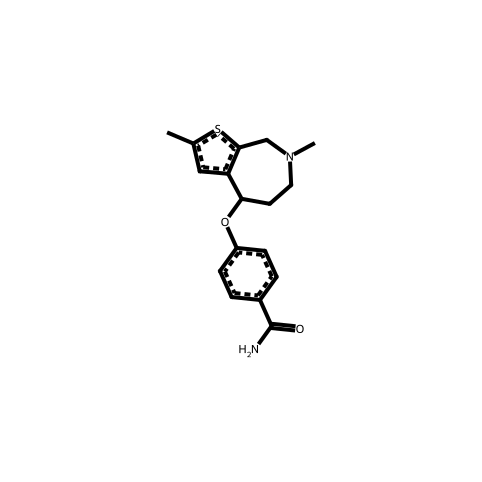 Cc1cc2c(s1)CN(C)CCC2Oc1ccc(C(N)=O)cc1